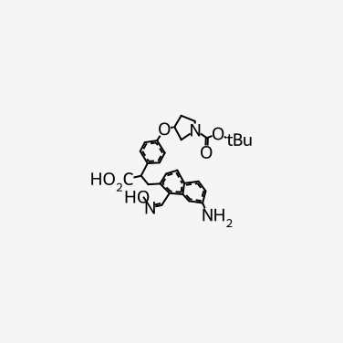 CC(C)(C)OC(=O)N1CC[C@H](Oc2ccc(C(Cc3ccc4ccc(N)cc4c3/C=N\O)C(=O)O)cc2)C1